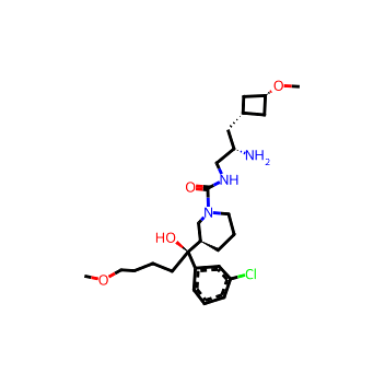 COCCCC[C@@](O)(c1cccc(Cl)c1)[C@@H]1CCCN(C(=O)NC[C@@H](N)C[C@H]2C[C@@H](OC)C2)C1